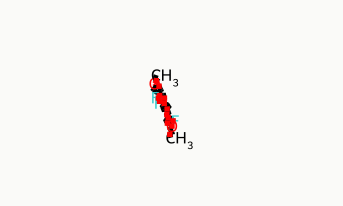 CCCCOc1ccc(CCc2ccc(-c3ccc(C4CCC(OCCC)CC4)c(F)c3F)cc2)cc1F